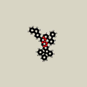 c1ccc(-c2ccccc2-c2c(-c3ccccc3)cccc2N(c2ccc(-c3ccc4c(ccc5ccccc54)c3)cc2)c2ccc3c(c2)-c2ccccc2C3(c2ccccc2)c2ccccc2)cc1